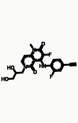 C#Cc1ccc(Nc2c(F)c(=O)n(C)c3ccn(CC(O)CO)c(=O)c23)c(F)c1